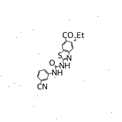 CCOC(=O)c1ccc2nc(NC(=O)Nc3cccc(C#N)c3)sc2c1